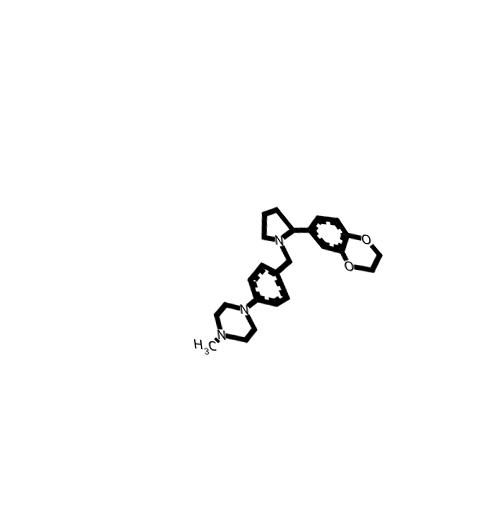 CN1CCN(c2ccc(CN3CCCC3c3ccc4c(c3)OCCO4)cc2)CC1